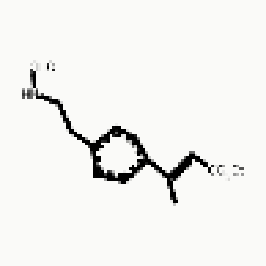 CCOC(=O)C=C(C)c1ccc(CCNC=O)cc1